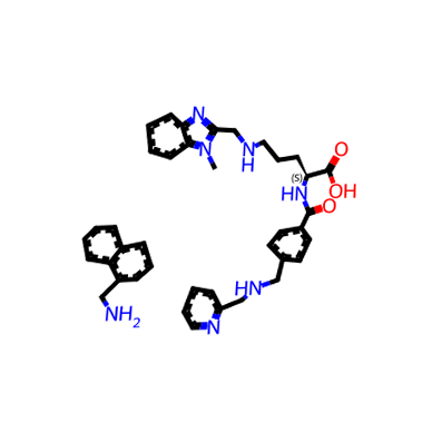 Cn1c(CNCCC[C@H](NC(=O)c2ccc(CNCc3ccccn3)cc2)C(=O)O)nc2ccccc21.NCc1cccc2ccccc12